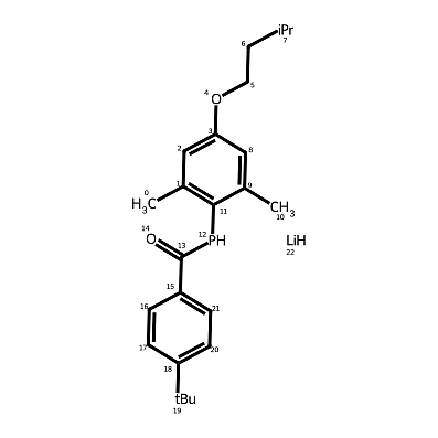 Cc1cc(OCCC(C)C)cc(C)c1PC(=O)c1ccc(C(C)(C)C)cc1.[LiH]